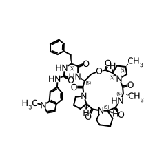 C[C@H]1C[C@H]2C(=O)OC[C@H](NC(=O)[C@H](Cc3ccccc3)NC(=O)Nc3ccc4ccn(C)c4c3)C(=O)N3CCC[C@H]3C(=O)N3CCCC[C@H]3C(=O)N[C@@H](C)C(=O)N2C1